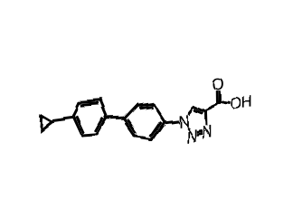 O=C(O)c1cn(-c2ccc(-c3ccc(C4CC4)cc3)cc2)nn1